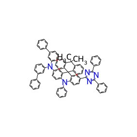 CC1(C)c2ccccc2C2(c3cc(-c4nc(-c5ccccc5)nc(-c5ccccc5)n4)ccc3N(c3ccccc3)c3ccc(N(c4cccc(-c5ccccc5)c4)c4cccc(-c5ccccc5)c4)cc32)c2ccccc21